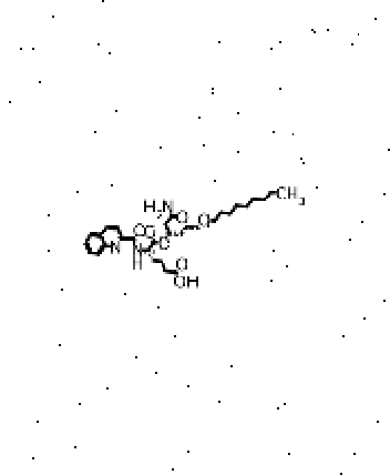 CCCCCCCCCOCCC[C@@H](CC(N)=O)OC(=O)[C@H](CCCC(=O)O)NC(=O)c1ccc2ccccc2n1